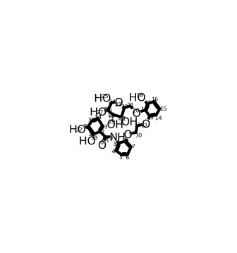 O=C(Nc1ccccc1OCCOc1cccc(O)c1OCC1OC(O)[C@H](O)[C@@H](O)C1O)c1cccc(O)c1O